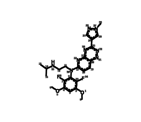 COc1cc(OC)c(F)c(N(CCNC(C)C)c2ccc3nnc(-c4cnn(C)c4)nc3n2)c1F